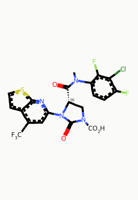 CN(C(=O)[C@@H]1CN(C(=O)O)C(=O)N1c1cc(C(F)(F)F)c2ccsc2n1)c1ccc(F)c(Cl)c1F